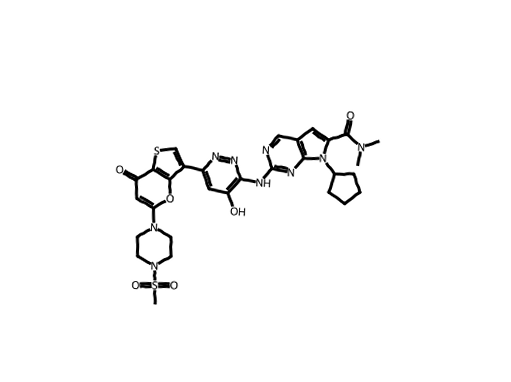 CN(C)C(=O)c1cc2cnc(Nc3nnc(-c4csc5c(=O)cc(N6CCN(S(C)(=O)=O)CC6)oc45)cc3O)nc2n1C1CCCC1